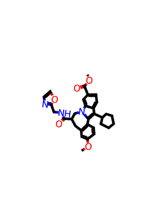 COC(=O)c1ccc2c(C3CCCCC3)c3n(c2c1)CC(C(=O)NCc1ncco1)Cc1cc(OC)ccc1-3